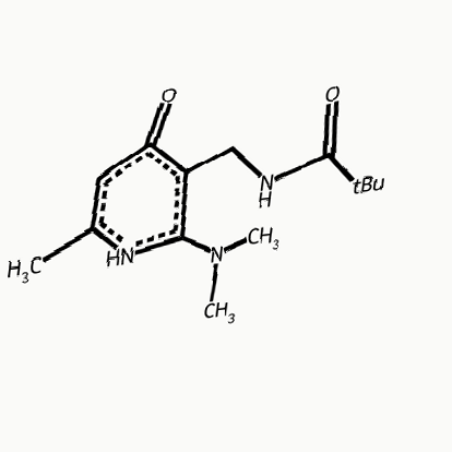 Cc1cc(=O)c(CNC(=O)C(C)(C)C)c(N(C)C)[nH]1